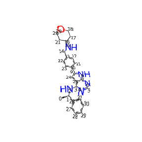 C[C@@H](Nc1ncnc2[nH]c(-c3ccc(CNC4CCOCC4)cc3)cc12)c1ccccc1